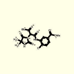 COC(=O)c1ccc(Cl)c(NC(=O)C(C(=O)C(C)(C)C)N2C(=O)NC(C)(C)C2=O)c1